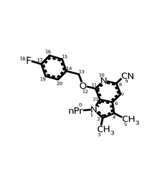 CCCn1c(C)c(C)c2cc(C#N)nc(OCc3ccc(F)cc3)c21